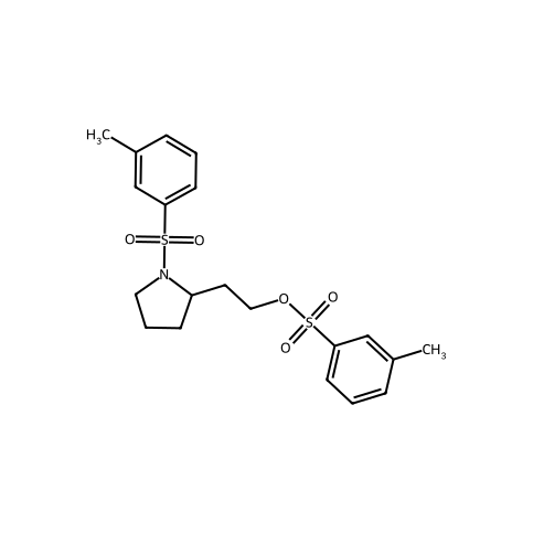 Cc1cccc(S(=O)(=O)OCCC2CCCN2S(=O)(=O)c2cccc(C)c2)c1